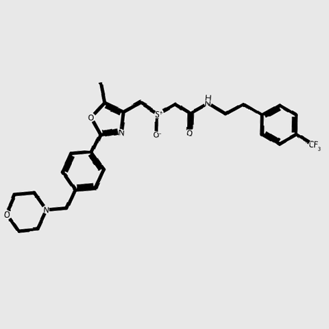 Cc1oc(-c2ccc(CN3CCOCC3)cc2)nc1C[S+]([O-])CC(=O)NCCc1ccc(C(F)(F)F)cc1